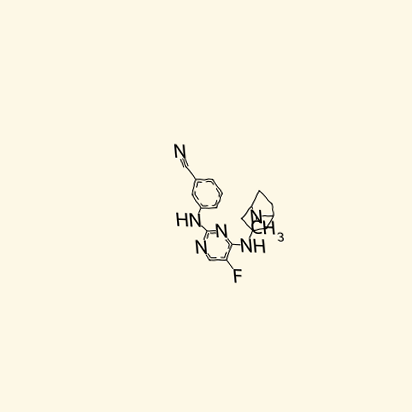 CN1C2CCC1CC(Nc1nc(Nc3cccc(C#N)c3)ncc1F)C2